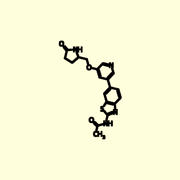 CC(=O)Nc1nc2ccc(-c3cncc(OCC4CCC(=O)N4)c3)cc2s1